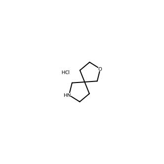 C1CC2(CCOC2)CN1.Cl